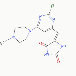 CN1CCN(c2cc(C=C3NC(=O)NC3=O)nc(Cl)n2)CC1